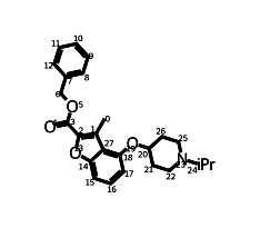 Cc1c(C(=O)OCc2ccccc2)oc2cccc(OC3CCN(C(C)C)CC3)c12